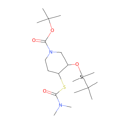 CN(C)C(=O)SC1CCN(C(=O)OC(C)(C)C)CC1O[Si](C)(C)C(C)(C)C